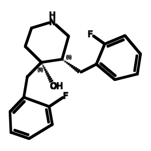 O[C@]1(Cc2ccccc2F)CCNC[C@@H]1Cc1ccccc1F